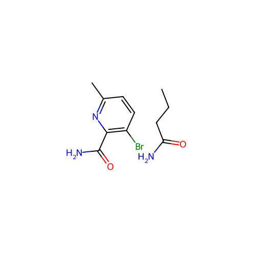 CCCC(N)=O.Cc1ccc(Br)c(C(N)=O)n1